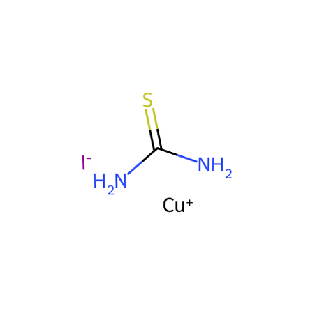 NC(N)=S.[Cu+].[I-]